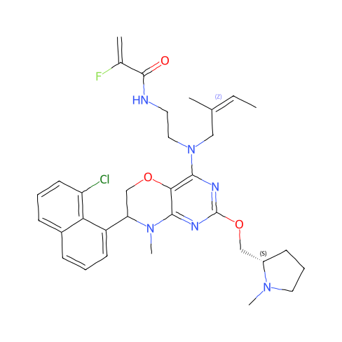 C=C(F)C(=O)NCCN(C/C(C)=C\C)c1nc(OC[C@@H]2CCCN2C)nc2c1OCC(c1cccc3cccc(Cl)c13)N2C